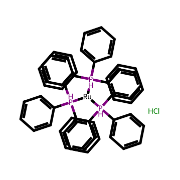 Cl.c1ccc([PH](c2ccccc2)(c2ccccc2)[Ru]([PH](c2ccccc2)(c2ccccc2)c2ccccc2)[PH](c2ccccc2)(c2ccccc2)c2ccccc2)cc1